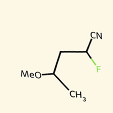 COC(C)CC(F)C#N